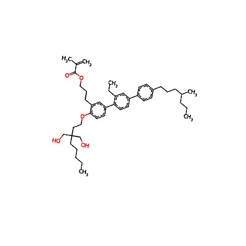 C=C(C)C(=O)OCCCc1cc(-c2ccc(-c3ccc(CCCC(C)CCC)cc3)cc2CC)ccc1OCCC(CO)(CO)CCCCC